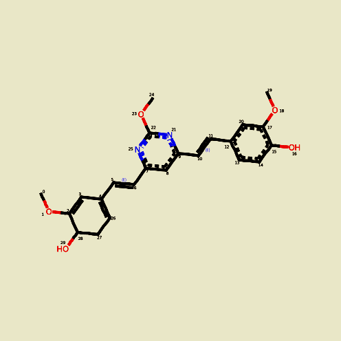 COC1=CC(/C=C/c2cc(/C=C/c3ccc(O)c(OC)c3)nc(OC)n2)=CCC1O